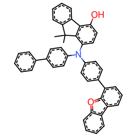 CC1(C)c2ccccc2-c2c(O)ccc(N(c3ccc(-c4ccccc4)cc3)c3ccc(-c4cccc5c4oc4ccccc45)cc3)c21